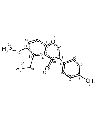 Cc1ccc(-c2coc3ccc(CP)c(CP)c3c2=O)cc1